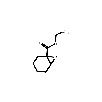 CCOC(=O)C12CCCCC1O2